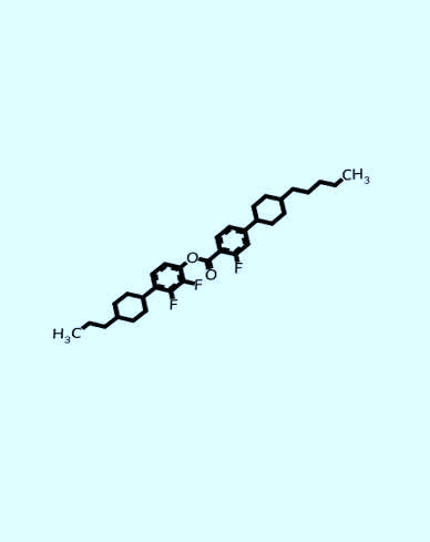 CCCCCC1CCC(c2ccc(C(=O)Oc3ccc(C4CCC(CCC)CC4)c(F)c3F)c(F)c2)CC1